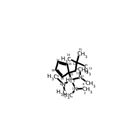 C[N](C)[Hf]([N](C)C)([N](C)C)[C]1(CC(C)(C)C)C=CC=C1